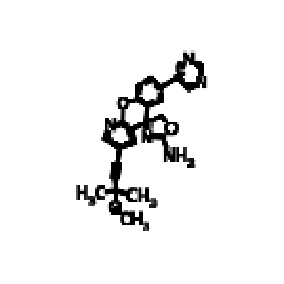 COC(C)(C)C#Cc1cnc2c(c1)[C@]1(COC(N)=N1)c1cc(-c3cncnc3)ccc1O2